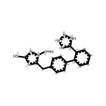 CCCCCCn1nc(S)nc1Cc1ccc(-c2ccccc2-c2nnn[nH]2)cc1